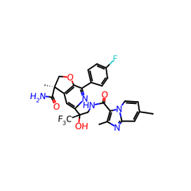 Cc1ccn2c(C(=O)NCC(O)(c3cc4c(c(-c5ccc(F)cc5)n3)OC[C@]4(C)C(N)=O)C(F)(F)F)c(C)nc2c1